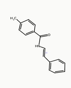 Cc1ccc(C(=O)N/C=C/c2ccccc2)cc1